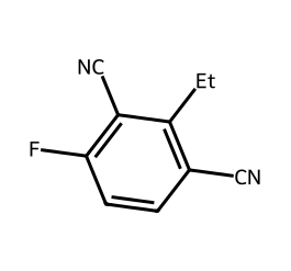 CCc1c(C#N)ccc(F)c1C#N